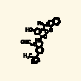 Cc1ncsc1-c1ccc(CNC(=O)[C@@H]2C[C@@H](O)CN2C(=O)C(C(C)C)N2Cc3ccccc3C2=O)c(OCC=O)c1